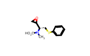 CN(C(=O)O)[C@@H](CSc1ccccc1)C1CO1